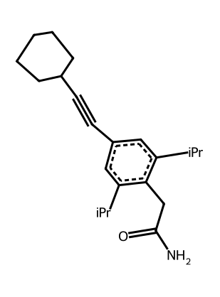 CC(C)c1cc(C#CC2CCCCC2)cc(C(C)C)c1CC(N)=O